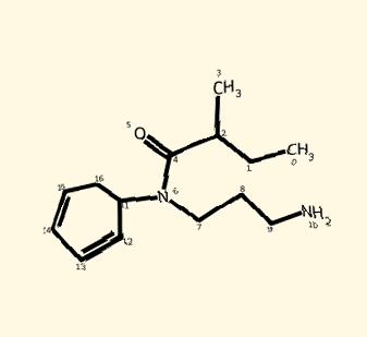 CCC(C)C(=O)N(CCCN)C1C=CC=CC1